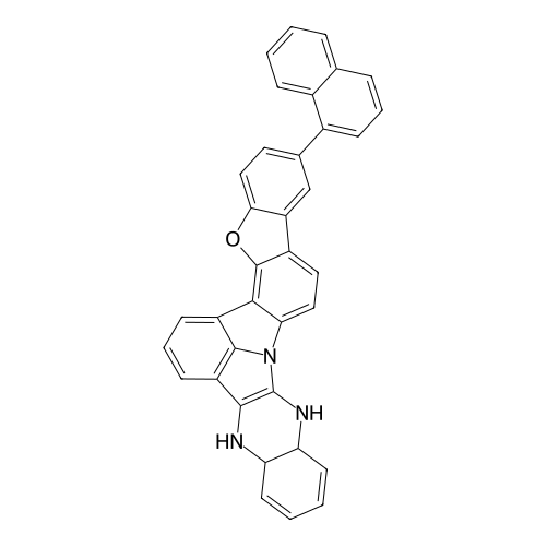 C1=CC2Nc3c(n4c5ccc6c7cc(-c8cccc9ccccc89)ccc7oc6c5c5cccc3c54)NC2C=C1